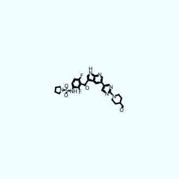 O=CC1CCN(c2ncc(-c3cnc4[nH]cc(C(=O)c5c(F)ccc(NS(=O)(=O)N6CCCC6)c5F)c4c3)cn2)CC1